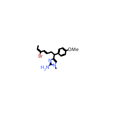 C/C=C(Br)\C=C\CC(c1ccc(OC)cc1)c1cn(C)c(N)n1